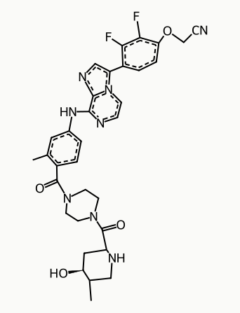 Cc1cc(Nc2nccn3c(-c4ccc(OCC#N)c(F)c4F)cnc23)ccc1C(=O)N1CCN(C(=O)C2C[C@H](O)C(C)CN2)CC1